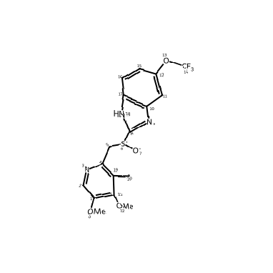 COc1cnc(C[S+]([O-])c2nc3cc(OC(F)(F)F)ccc3[nH]2)c(C)c1OC